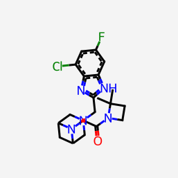 CC1(C)CCN1C(=O)CN1C2CC1CN(Cc1nc3c(Cl)cc(F)cc3[nH]1)C2